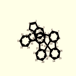 C1=Cc2cc(-c3cccc4c3C3(c5ccccc5-4)c4ccccc4-c4c3ccc3sc5ccccc5c43)ccc2C1